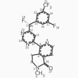 CN1CCc2c(ccnc2-c2cc([C@H](F)c3cc(F)cc(C(F)(F)F)c3)ncn2)C1=O